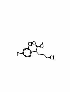 COC(=O)C(CCCCl)c1ccc(F)cc1Cl